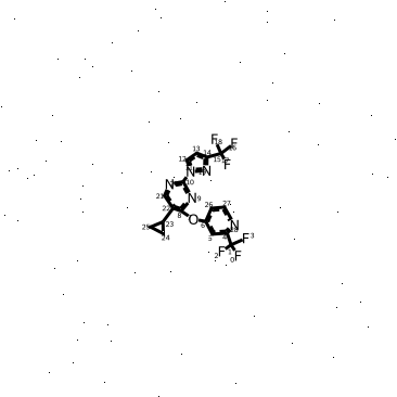 FC(F)(F)c1cc(Oc2nc(-n3ccc(C(F)(F)F)n3)ncc2C2CC2)ccn1